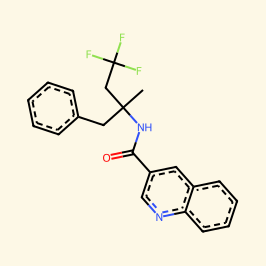 CC(Cc1ccccc1)(CC(F)(F)F)NC(=O)c1cnc2ccccc2c1